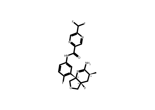 C[C@H]1C[C@]2(F)COC[C@]2(c2cc(NC(=O)c3cnc(C(F)F)cn3)ccc2F)N=C1N